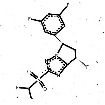 O=S(=O)(c1nc2n(n1)[C@H](c1cc(F)cc(F)c1)C[C@@H]2F)C(F)F